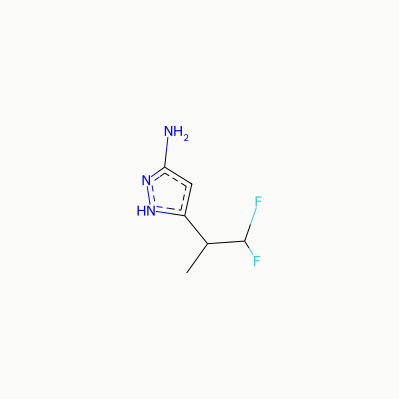 CC(c1cc(N)n[nH]1)C(F)F